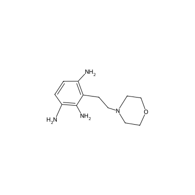 Nc1ccc(N)c(CCN2CCOCC2)c1N